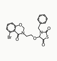 O=C1SC(=O)N(Cc2ccccc2)C1OCCN1COc2cccc(Br)c2C1=O